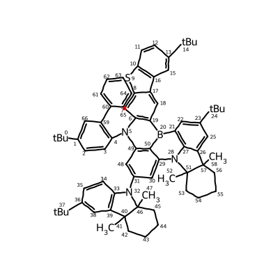 CC(C)(C)c1ccc(N2c3cc4sc5ccc(C(C)(C)C)cc5c4cc3B3c4cc(C(C)(C)C)cc5c4N(c4cc(N6c7ccc(C(C)(C)C)cc7C7(C)CCCCC67C)cc2c43)C2(C)CCCCC52C)c(-c2ccccc2)c1